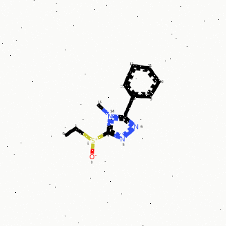 CC[S+]([O-])c1nnc(-c2ccccc2)n1C